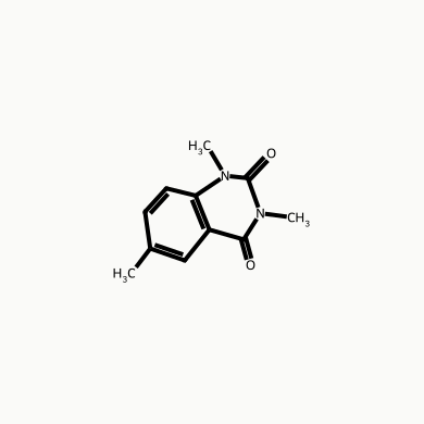 Cc1ccc2c(c1)c(=O)n(C)c(=O)n2C